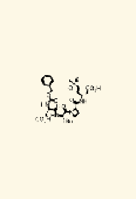 CC(C)(C)[C@@H](NC(=O)[C@H](CC(=O)O)NC(=O)OCc1ccccc1)C(=O)N1CC[C@@H]1C(=O)N[C@H](/C=C/S(C)(=O)=O)CC(=O)O